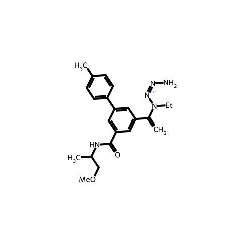 C=C(c1cc(C(=O)NC(C)COC)cc(-c2ccc(C)cc2)c1)N(CC)/N=N\N